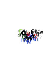 COCC1(C)Nc2c(cnc3[nH]cc(C(=O)c4ccc(F)c(F)c4Cl)c23)NC1=O